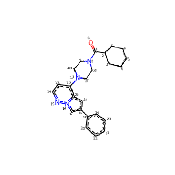 O=C(C1CCCCC1)N1CCN(c2ccnn3cc(-c4ccccc4)cc23)CC1